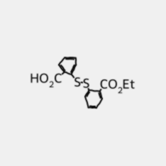 CCOC(=O)c1ccccc1SSc1ccccc1C(=O)O